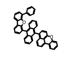 c1ccc(-c2cccc3c2oc2c(-c4c5ccccc5c(-c5ccc6c7c(cccc57)-c5ccccc5O6)c5ccccc45)cccc23)cc1